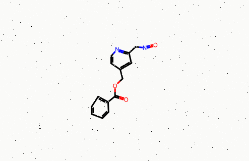 O=NCc1cc(COC(=O)c2ccccc2)ccn1